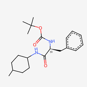 CC1CCC(NC(=O)[C@H](Cc2ccccc2)NC(=O)OC(C)(C)C)CC1